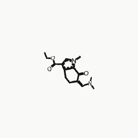 CCOC(=O)c1cn(C)c2c1CC/C(=C/N(C)C)C2=O